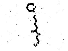 NCCNC(=S)CCCCSC1CCCCO1